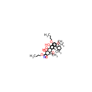 CCCCOc1noc2c1C(=O)[C@@]1(O)C(=O)c3c(c4c5c(c(OC)cc(OCCCC)c5c3O)[C@]3(C4)C(C)=CCCC3(C)C)[C@@H](OC)[C@H]1C2